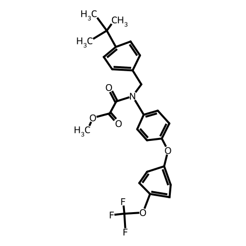 COC(=O)C(=O)N(Cc1ccc(C(C)(C)C)cc1)c1ccc(Oc2ccc(OC(F)(F)F)cc2)cc1